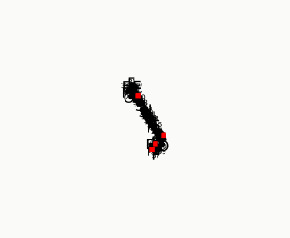 O=C(c1ccc2cc(-c3nc4cc5cc6sc(-c7cc8ccc(C(=O)c9c(F)c(F)c(F)c(F)c9F)cc8s7)nc6cc5cc4s3)sc2c1)c1c(F)c(F)c(F)c(F)c1F